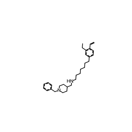 C=Cc1ccc(CCCCCCCNCC2CCN(Cc3ccccc3)CC2)cc1CC